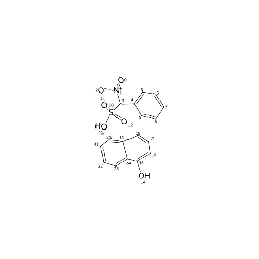 O=[N+]([O-])C(c1ccccc1)S(=O)(=O)O.Oc1cccc2ccccc12